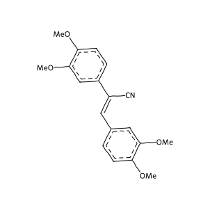 COc1ccc(/C=C(\C#N)c2ccc(OC)c(OC)c2)cc1OC